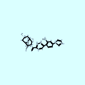 C=C(c1ncc(-c2ccc(-n3ccnc3)cc2O)nn1)[C@H]1C[C@]2(C)C[C@@H](C)CC(N2)[C@@H]1F